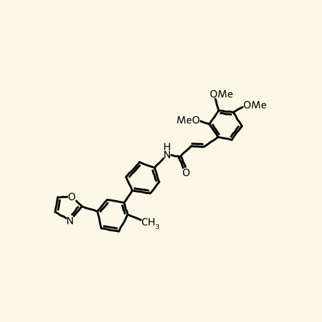 COc1ccc(C=CC(=O)Nc2ccc(-c3cc(-c4ncco4)ccc3C)cc2)c(OC)c1OC